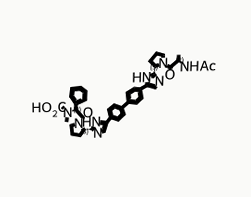 CC(=O)N[C@H](C)C(=O)N1CCC[C@H]1c1ncc(-c2ccc(-c3ccc(-c4cnc([C@@H]5CCCN5C(=O)[C@@H](c5ccccc5)N(C)C(=O)O)[nH]4)cc3)cc2)[nH]1